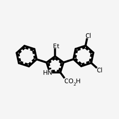 CCc1c(-c2ccccc2)[nH]c(C(=O)O)c1-c1cc(Cl)cc(Cl)c1